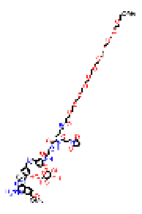 CCCCc1nc2c(N)nc3cc(C(=O)OC)ccc3c2n1Cc1ccc(C[N+](C)(C)Cc2ccc(O[C@H]3O[C@H](CO)[C@@H](O)[C@H](O)[C@@H]3O)c(NC(=O)CCNC(=O)[C@H](CCCCNC(=O)CCOCCOCCOCCOCCOCCOCCOCCOCCOCCOCCOCCOC)NC(=O)CCN3C(=O)C=CC3=O)c2)cc1